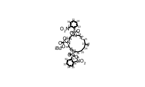 CCC(C)OP(=O)(O)N1CCN(S(=O)(=O)c2ccccc2[N+](=O)[O-])CCCC(F)CCCN(S(=O)(=O)c2ccccc2[N+](=O)[O-])CC1